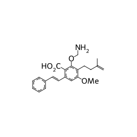 C=C(C)CCc1c(OC)cc(C=Cc2ccccc2)c(C(=O)O)c1OCN